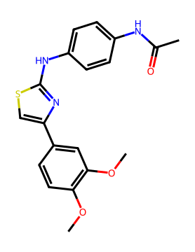 COc1ccc(-c2csc(Nc3ccc(NC(C)=O)cc3)n2)cc1OC